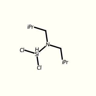 CC(C)CN(CC(C)C)[SiH](Cl)Cl